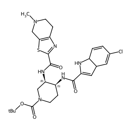 CN1CCc2nc(C(=O)N[C@@H]3CN(C(=O)OC(C)(C)C)CC[C@@H]3NC(=O)C3=CC4C=C(Cl)C=CC4N3)sc2C1